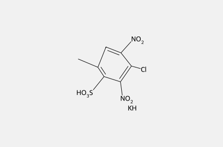 Cc1cc([N+](=O)[O-])c(Cl)c([N+](=O)[O-])c1S(=O)(=O)O.[KH]